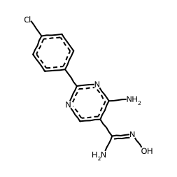 NC(=NO)c1cnc(-c2ccc(Cl)cc2)nc1N